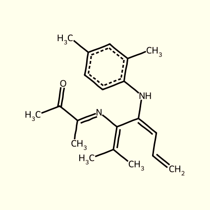 C=C/C=C(/Nc1ccc(C)cc1C)C(/N=C(\C)C(C)=O)=C(C)C